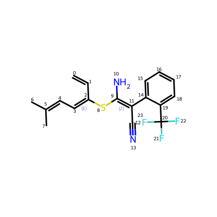 C=C/C(=C\C=C(C)C)S/C(N)=C(\C#N)c1ccccc1C(F)(F)F